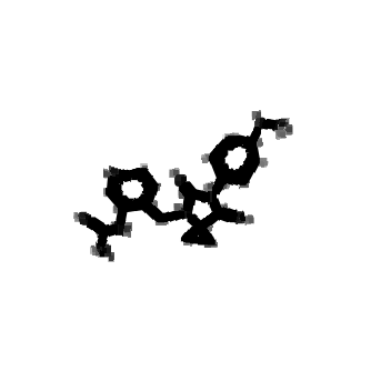 NC(=O)Nc1cnccc1CN1C(=O)N(c2ccc(OC(F)(F)F)cc2)C(=O)C12CC2